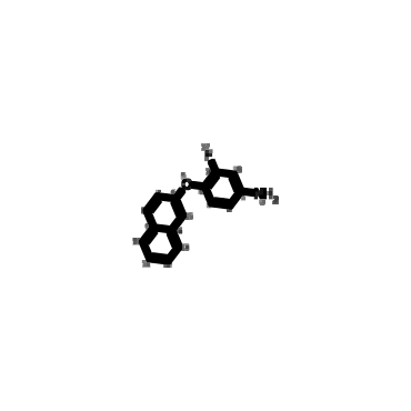 Nc1ccc(Oc2ccc3ccccc3c2)c(F)c1